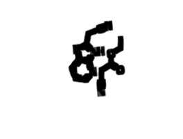 CCOC(=O)CC#N.N#CCc1nc2cccnc2[nH]1